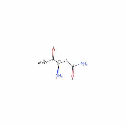 COC(=O)[C@H](N)CC(N)=O